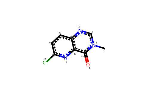 Cn1cnc2ccc(Cl)nc2c1=O